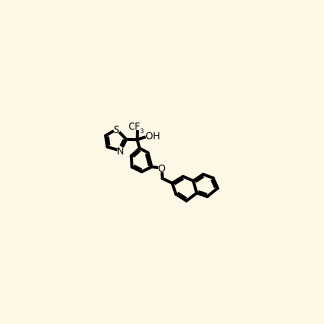 OC(c1cccc(OCc2ccc3ccccc3c2)c1)(c1nccs1)C(F)(F)F